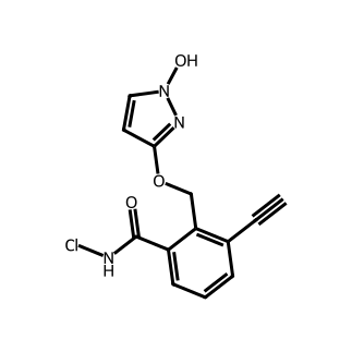 C#Cc1cccc(C(=O)NCl)c1COc1ccn(O)n1